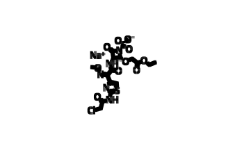 CCOC(=O)CO[C@@H]1[C@H](NC(=O)C(=NOC)c2csc(NC(=O)CCl)n2)C(=O)N1S(=O)(=O)[O-].[Na+]